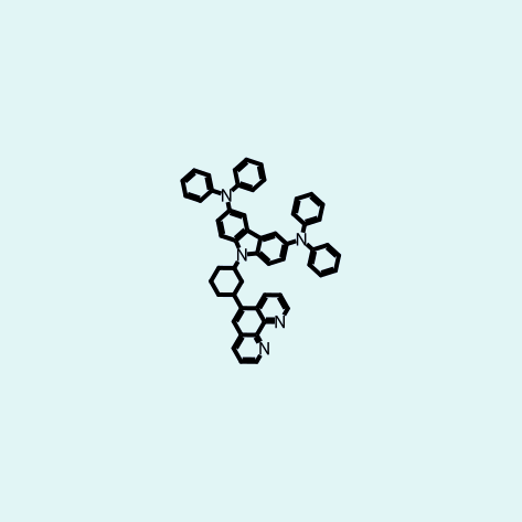 c1ccc(N(c2ccccc2)c2ccc3c(c2)c2cc(N(c4ccccc4)c4ccccc4)ccc2n3C2CCCC(c3cc4cccnc4c4ncccc34)C2)cc1